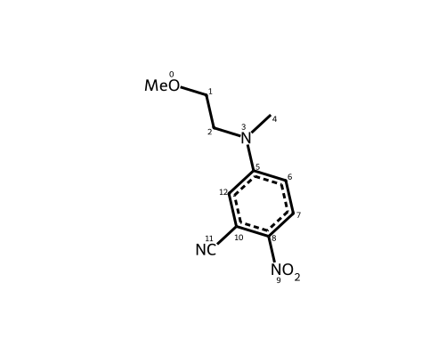 COCCN(C)c1ccc([N+](=O)[O-])c(C#N)c1